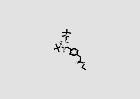 CCOC(=O)Cc1ccc([C@@H](CO[Si](C)(C)C(C)(C)C)N[S+]([O-])C(C)(C)C)cc1